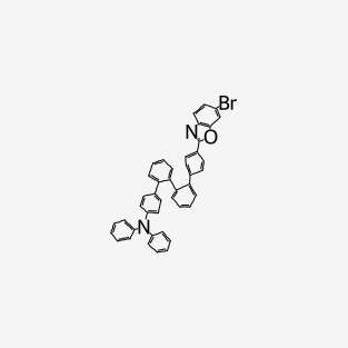 Brc1ccc2nc(-c3ccc(-c4ccccc4-c4ccccc4-c4ccc(N(c5ccccc5)c5ccccc5)cc4)cc3)oc2c1